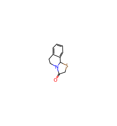 O=C1CSC2c3ccccc3CCN12